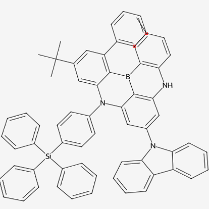 Cc1ccc2c(c1)B1c3c(cc(-n4c5ccccc5c5ccccc54)cc3N(c3ccc([Si](c4ccccc4)(c4ccccc4)c4ccccc4)cc3)c3cc(C(C)(C)C)cc(-c4ccccc4)c31)N2